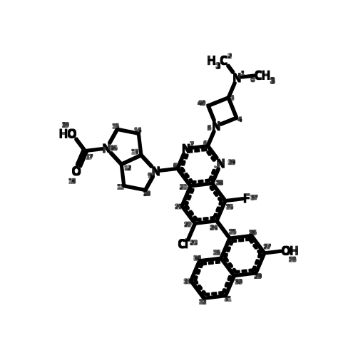 CN(C)C1CN(c2nc(N3CCC4C3CCN4C(=O)O)c3cc(Cl)c(-c4cc(O)cc5ccccc45)c(F)c3n2)C1